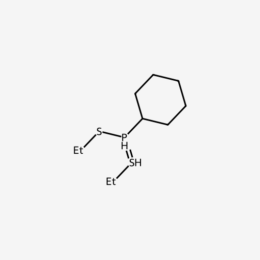 CCS[PH](=[SH]CC)C1CCCCC1